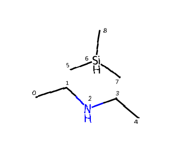 CCNCC.C[SiH](C)C